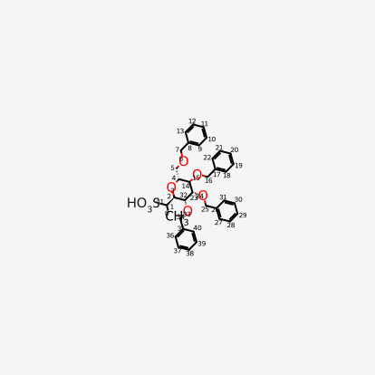 CC([C@H]1O[C@H](COCc2ccccc2)[C@@H](OCc2ccccc2)[C@H](OCc2ccccc2)[C@@H]1OCc1ccccc1)S(=O)(=O)O